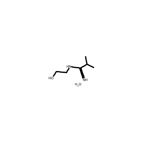 CC(C)C(=N)NCCO.O